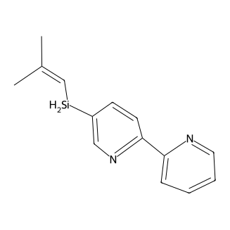 CC(C)=C[SiH2]c1ccc(-c2ccccn2)nc1